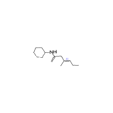 C=C(C/C(C)=C/CC)NC1CCCCC1